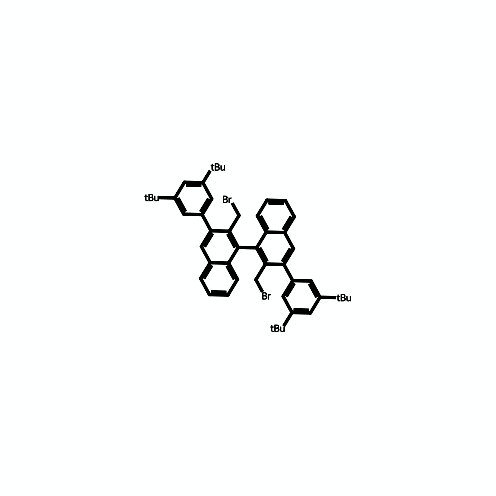 CC(C)(C)c1cc(-c2cc3ccccc3c(-c3c(CBr)c(-c4cc(C(C)(C)C)cc(C(C)(C)C)c4)cc4ccccc34)c2CBr)cc(C(C)(C)C)c1